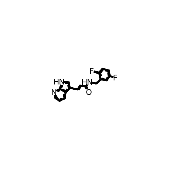 O=C(/C=C/c1c[nH]c2ncccc12)NCc1cc(F)ccc1F